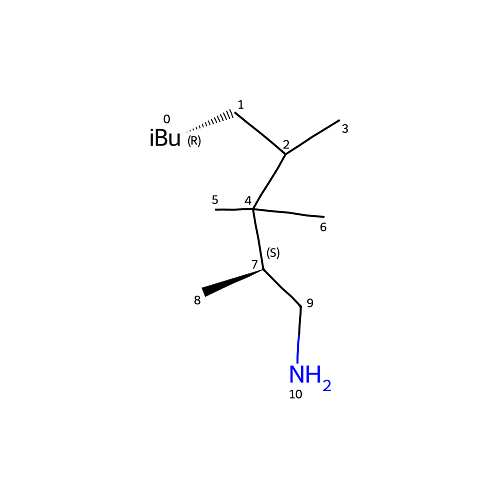 CC[C@@H](C)CC(C)C(C)(C)[C@H](C)CN